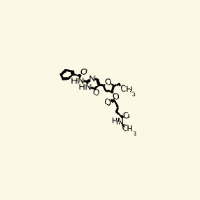 CCC1OC(c2cnc(NC(=O)c3ccccc3)[nH]c2=O)CC1OC(=O)CCC(=O)NC